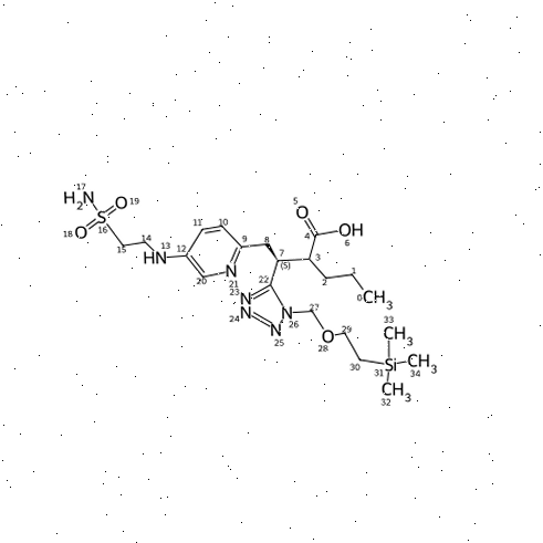 CCCC(C(=O)O)[C@H](Cc1ccc(NCCS(N)(=O)=O)cn1)c1nnnn1COCC[Si](C)(C)C